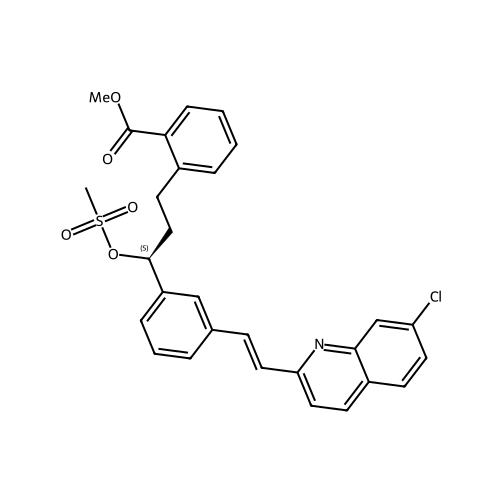 COC(=O)c1ccccc1CC[C@H](OS(C)(=O)=O)c1cccc(C=Cc2ccc3ccc(Cl)cc3n2)c1